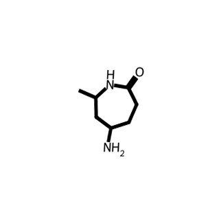 CC1CC(N)CCC(=O)N1